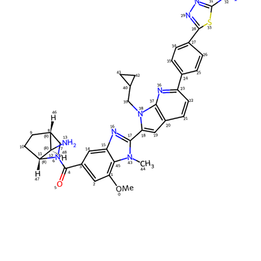 COc1cc(C(=O)N2C[C@H]3CC[C@@H]2[C@@H]3N)cc2nc(-c3cc4ccc(-c5ccc(-c6nnc(N)s6)cc5)nc4n3CC3CC3)n(C)c12